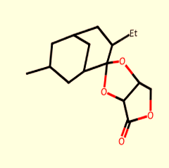 CCC1CC2CC(C)CC(C2)C12OC1COC(=O)C1O2